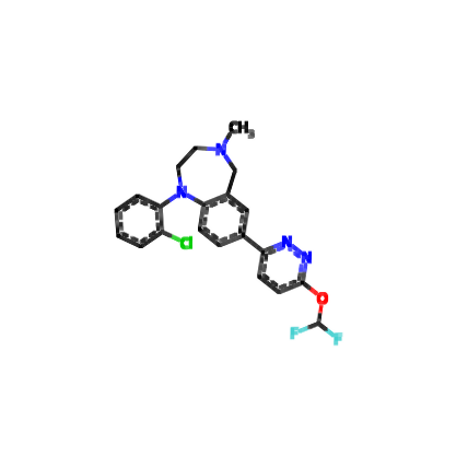 CN1CCN(c2ccccc2Cl)c2ccc(-c3ccc(OC(F)F)nn3)cc2C1